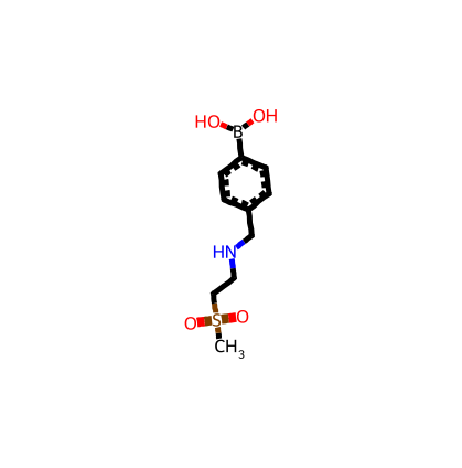 CS(=O)(=O)CCNCc1ccc(B(O)O)cc1